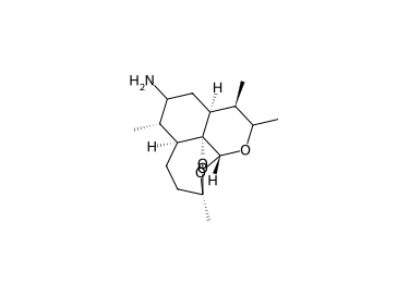 CC1O[C@@H]2O[C@]3(C)CC[C@H]4[C@H](C)C(N)C[C@@H]([C@H]1C)[C@@]24OO3